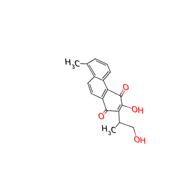 Cc1cccc2c3c(ccc12)C(=O)C(C(C)CO)=C(O)C3=O